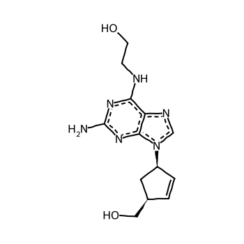 Nc1nc(NCCO)c2ncn([C@H]3C=C[C@@H](CO)C3)c2n1